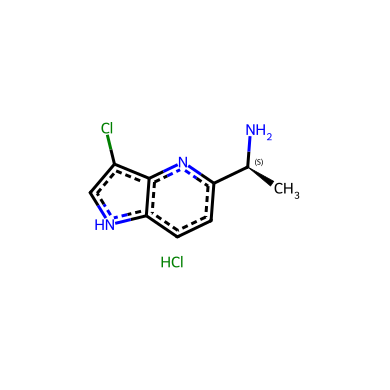 C[C@H](N)c1ccc2[nH]cc(Cl)c2n1.Cl